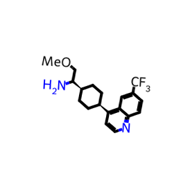 COCC(N)[C@H]1CC[C@@H](c2ccnc3ccc(C(F)(F)F)cc32)CC1